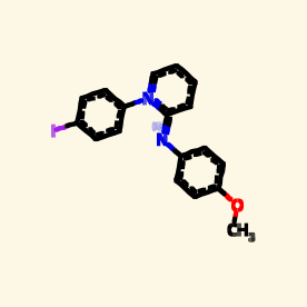 COc1ccc(/N=c2\ccccn2-c2ccc(I)cc2)cc1